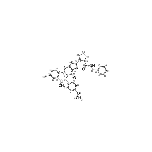 COc1ccc(Cn2c(-c3ccc(F)cc3OC)nc3sc(N4CCCC4C(=O)NCc4ccccc4)nc3c2=O)cc1